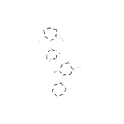 Cc1ccccc1-c1cc(C(C)(C)C)cc(-c2noc(-c3c(Cl)cccc3Cl)n2)c1O